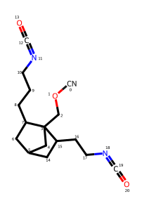 N#COCC12CC(CC1CCCN=C=O)CC2CCN=C=O